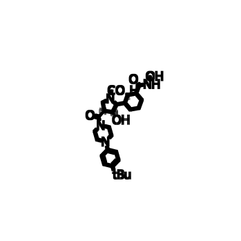 CC(C)(C)c1ccc(N2CCN(C(=O)[C@H]3CN(C(=O)O)C(C4CCCC(C(=O)NO)C4)[C@@H]3O)CC2)cc1